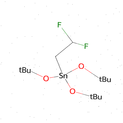 CC(C)(C)[O][Sn]([CH2]C(F)F)([O]C(C)(C)C)[O]C(C)(C)C